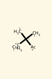 CC(=O)C(C)(C)C.[Cu]